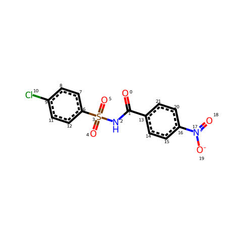 O=C(NS(=O)(=O)c1ccc(Cl)cc1)c1ccc([N+](=O)[O-])cc1